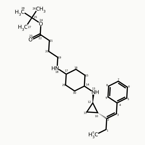 CCC(=Cc1ccccc1)[C@@H]1C[C@H]1NC1CCC(NCCCC(=O)OC(C)(C)C)CC1